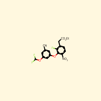 CCOC(=O)Cc1ccc([N+](=O)[O-])c(Oc2cc(C#N)cc(OC(F)F)c2)c1F